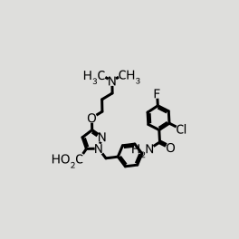 CN(C)CCCOc1cc(C(=O)O)n(Cc2ccccc2)n1.NC(=O)c1ccc(F)cc1Cl